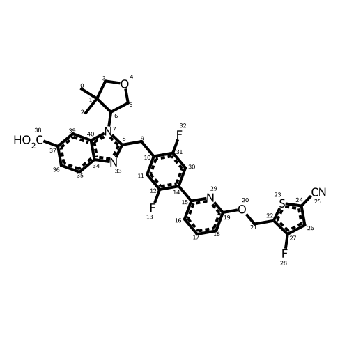 CC1(C)COCC1n1c(Cc2cc(F)c(-c3cccc(OCc4sc(C#N)cc4F)n3)cc2F)nc2ccc(C(=O)O)cc21